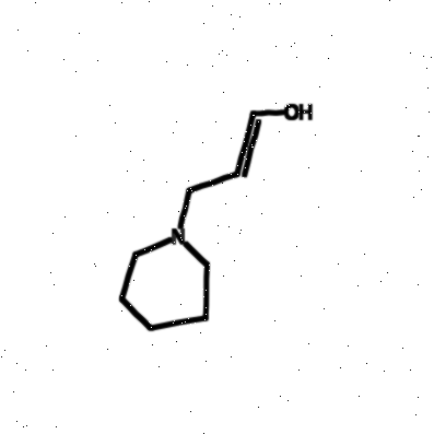 OC=CCN1CCCCC1